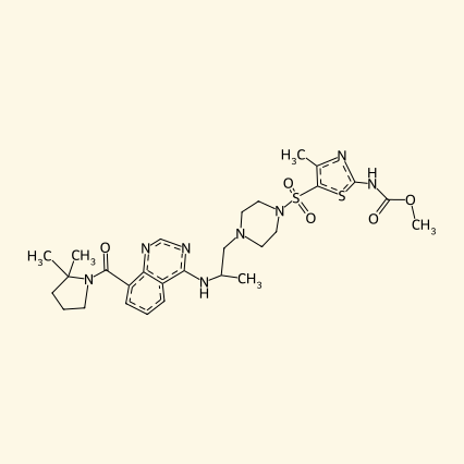 COC(=O)Nc1nc(C)c(S(=O)(=O)N2CCN(CC(C)Nc3ncnc4c(C(=O)N5CCCC5(C)C)cccc34)CC2)s1